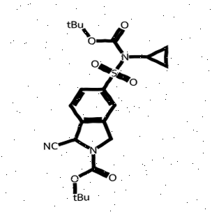 CC(C)(C)OC(=O)N1Cc2cc(S(=O)(=O)N(C(=O)OC(C)(C)C)C3CC3)ccc2C1C#N